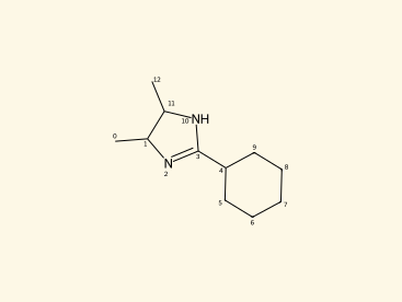 CC1N=C(C2CCCCC2)NC1C